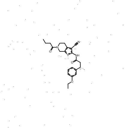 CCCC(=O)N1CCc2c(sc(NC(=O)C[C@H](C)c3cccc(OCC)c3)c2C#N)C1